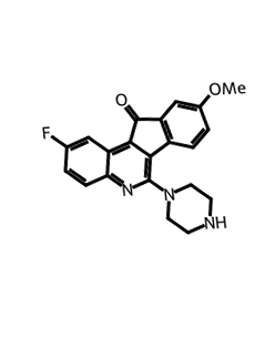 COc1ccc2c(c1)C(=O)c1c-2c(N2CCNCC2)nc2ccc(F)cc12